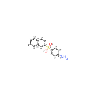 Nc1ccc(S(=O)(=O)c2ccc3ccccc3c2)cc1